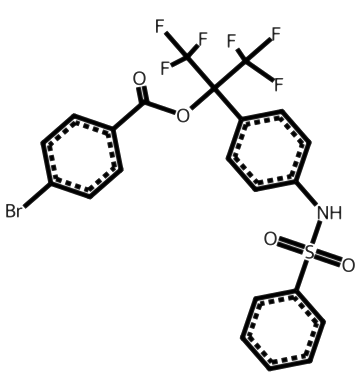 O=C(OC(c1ccc(NS(=O)(=O)c2ccccc2)cc1)(C(F)(F)F)C(F)(F)F)c1ccc(Br)cc1